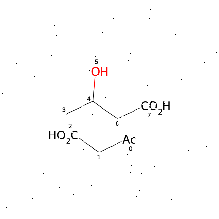 CC(=O)CC(=O)O.CC(O)CC(=O)O